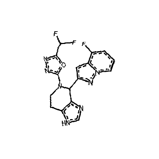 Fc1cccn2nc(C3c4nc[nH]c4CCN3c3nnc(C(F)F)o3)cc12